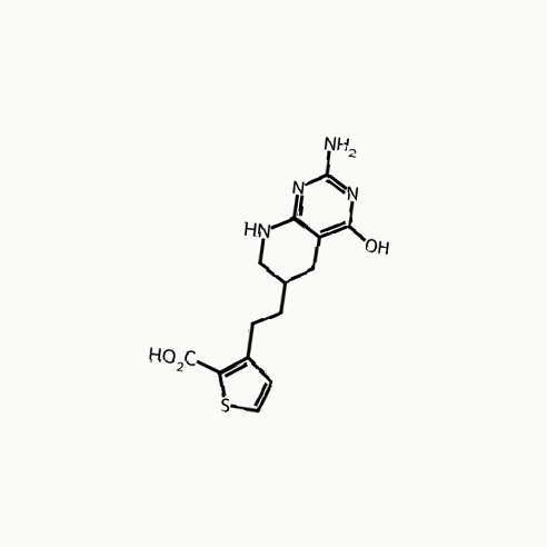 Nc1nc(O)c2c(n1)NCC(CCc1ccsc1C(=O)O)C2